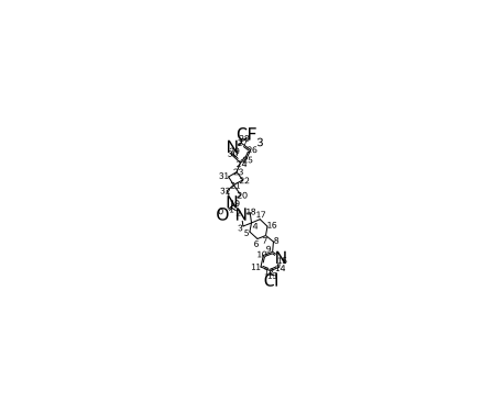 O=C(N1CC2(CCC(Cc3ccc(Cl)cn3)CC2)C1)N1CC2(CC(c3ccc(C(F)(F)F)nc3)C2)C1